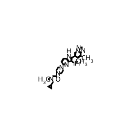 Cc1c(-c2[nH]c3ccc(N4CCN(C(=O)CN(C)CC5CC5)CC4)nc3c2C(C)C)cn2ncnc2c1C